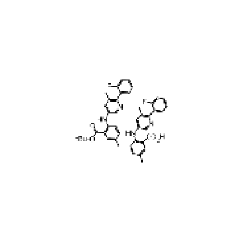 Cc1ccc(Nc2cnc(-c3ccccc3F)c(C)c2)c(C(=O)O)c1.Cc1ccc(Nc2cnc(-c3ccccc3F)c(C)c2)c(C(=O)OC(C)(C)C)c1